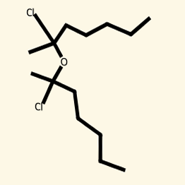 CCCCCC(C)(Cl)OC(C)(Cl)CCCCC